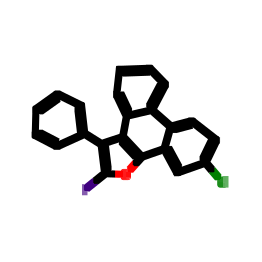 Clc1ccc2c3ccccc3c3c(-c4ccccc4)c(I)oc3c2c1